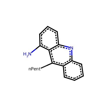 CCCCCc1c2ccccc2nc2cccc(N)c12